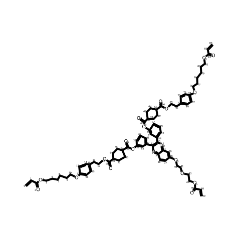 C=CC(=O)OCCCCCCOc1ccc(CCOC(=O)C2CCC(C(=O)Oc3cccc(-c4nc5ccc(OCCOCCOC(=O)C=C)cc5nc4-c4cccc(OC(=O)C5CCC(C(=O)OCCc6ccc(OCCCCCCOC(=O)C=C)cc6)CC5)c4)c3)CC2)cc1